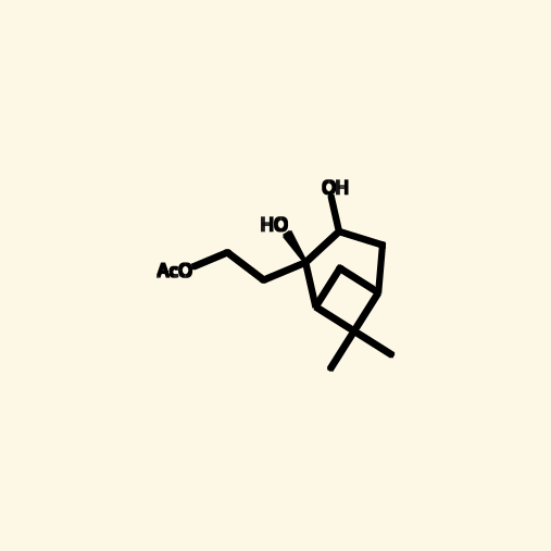 CC(=O)OCC[C@]1(O)C(O)CC2CC1C2(C)C